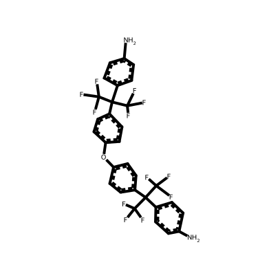 Nc1ccc(C(c2ccc(Oc3ccc(C(c4ccc(N)cc4)(C(F)(F)F)C(F)(F)F)cc3)cc2)(C(F)(F)F)C(F)(F)F)cc1